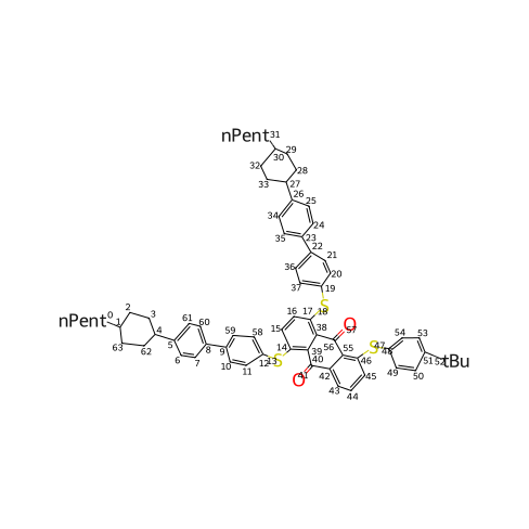 CCCCCC1CCC(c2ccc(-c3ccc(Sc4ccc(Sc5ccc(-c6ccc(C7CCC(CCCCC)CC7)cc6)cc5)c5c4C(=O)c4cccc(Sc6ccc(C(C)(C)C)cc6)c4C5=O)cc3)cc2)CC1